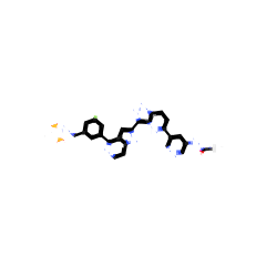 CC(C)C(=O)Nc1cncc(-c2ccc3[nH]nc(-c4cc5c(-c6cc(F)cc(CNS(C)(=O)=O)c6)nccc5[nH]4)c3n2)c1